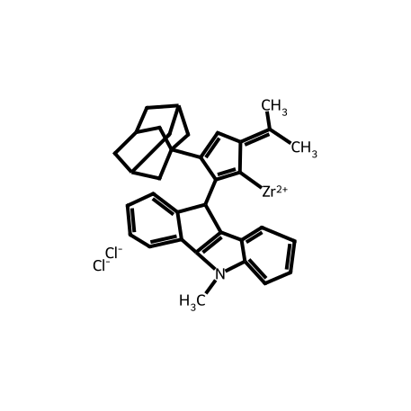 CC(C)=C1C=C(C23CC4CC(CC(C4)C2)C3)C(C2c3ccccc3-c3c2c2ccccc2n3C)=[C]1[Zr+2].[Cl-].[Cl-]